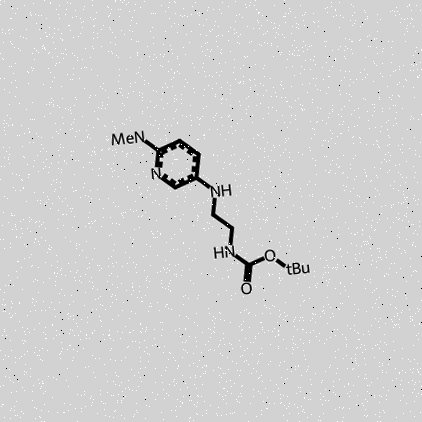 CNc1ccc(NCCNC(=O)OC(C)(C)C)cn1